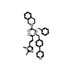 Cc1ncc(C=CC(=O)N(Cc2ccc(-c3ccncc3)cc2)[C@@H](Cc2ccccc2)C(=O)N2CCc3ccccc3C2)n1C